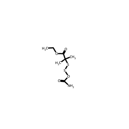 CCOC(=O)C(C)(C)SSOC(N)=O